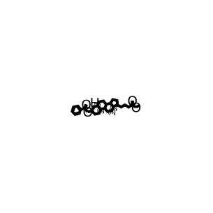 COC(=O)CCCC1CCC2C3CC[C@@H]4CC(OC(=O)c5ccccc5)CC[C@]4(C)C3C[C@@H](C)[C@]12C